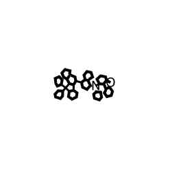 c1ccc(N(c2ccc(-c3cc4ccccc4c4c3-c3ccccc3C4(c3ccccc3)c3ccccc3)c3ccccc23)c2cccc3oc4ccccc4c23)cc1